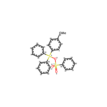 COc1ccc(S(OS(=O)(=O)c2ccccc2)(c2ccccc2)c2ccccc2)cc1